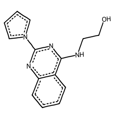 OCCNc1nc(-n2cccc2)nc2ccccc12